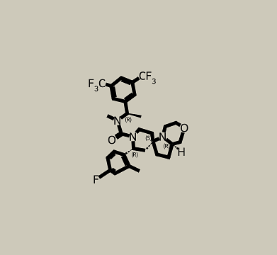 Cc1cc(F)ccc1[C@H]1C[C@]2(CC[C@@H]3COCCN32)CCN1C(=O)N(C)[C@H](C)c1cc(C(F)(F)F)cc(C(F)(F)F)c1